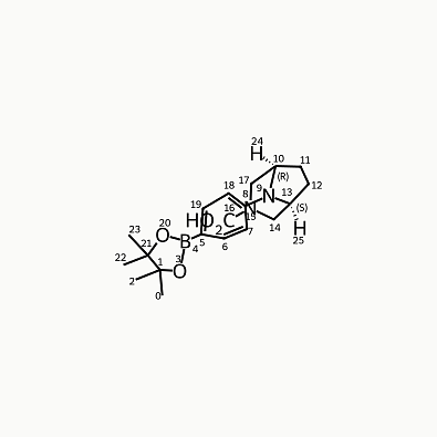 CC1(C)OB(c2ccc(N3[C@@H]4CC[C@H]3CN(C(=O)O)C4)cc2)OC1(C)C